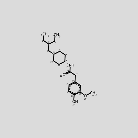 CCC(CC)C[C@H]1CC[C@H](NC(=O)Cc2ccc(O)c(OC)c2)CC1